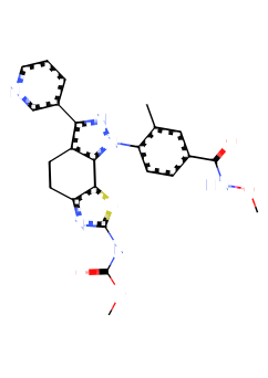 CONC(=O)c1ccc(-n2nc(-c3cccnc3)c3c2-c2sc(NC(=O)OC)nc2CC3)c(C)c1